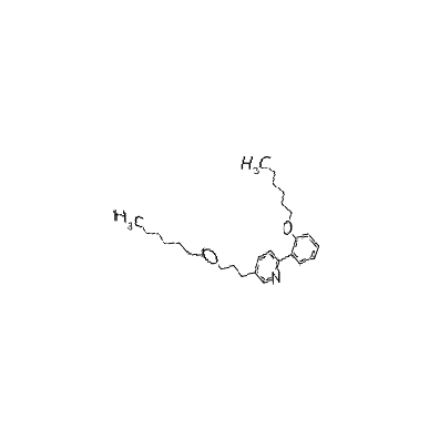 CCCCCCOCCCc1ccc(-c2ccccc2OCCCCCC)nc1